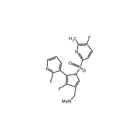 CNCc1cn(S(=O)(=O)c2ccc(F)c(C)n2)c(-c2cccnc2F)c1F